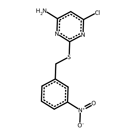 Nc1cc(Cl)nc(SCc2cccc([N+](=O)[O-])c2)n1